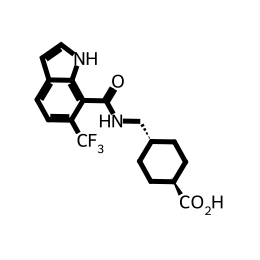 O=C(NC[C@H]1CC[C@H](C(=O)O)CC1)c1c(C(F)(F)F)ccc2cc[nH]c12